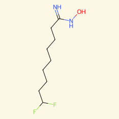 N=C(CCCCCCCC(F)F)NO